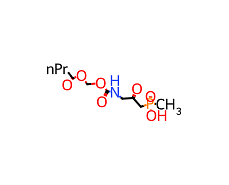 CCCC(=O)OCOC(=O)NCC(=O)CP(C)(=O)O